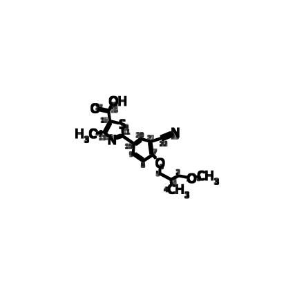 COCC(C)COc1ccc(-c2nc(C)c(C(=O)O)s2)cc1C#N